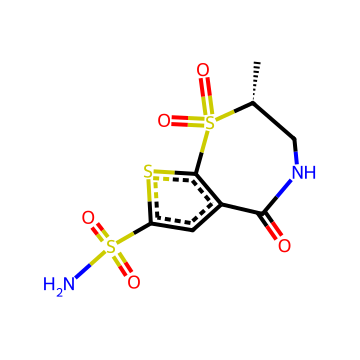 C[C@@H]1CNC(=O)c2cc(S(N)(=O)=O)sc2S1(=O)=O